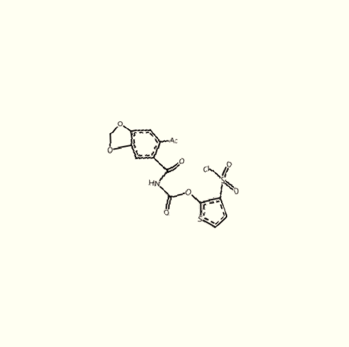 CC(=O)c1cc2c(cc1C(=O)NC(=O)Oc1sccc1S(=O)(=O)Cl)OCO2